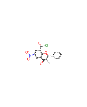 Cc1c(-c2ccccc2)oc2c(C(=O)Cl)cc([N+](=O)[O-])cc2c1=O